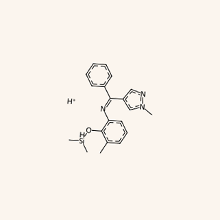 Cc1cccc(N=C(c2ccccc2)c2cnn(C)c2)c1O[SiH](C)C.[H+]